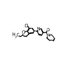 CCC1Cc2cc(-c3ccc(C(=O)N4CCCCC4)cn3)cc(Cl)c2O1